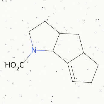 O=C(O)N1CCC2CC3CCC=C3C21